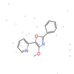 COc1nc(-c2ccccc2)oc1-c1ccccn1